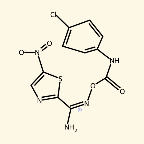 N/C(=N/OC(=O)Nc1ccc(Cl)cc1)c1ncc([N+](=O)[O-])s1